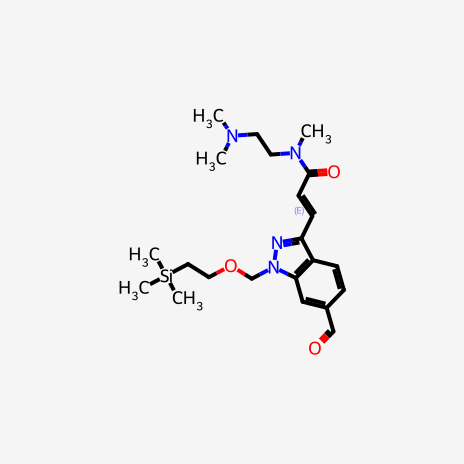 CN(C)CCN(C)C(=O)/C=C/c1nn(COCC[Si](C)(C)C)c2cc(C=O)ccc12